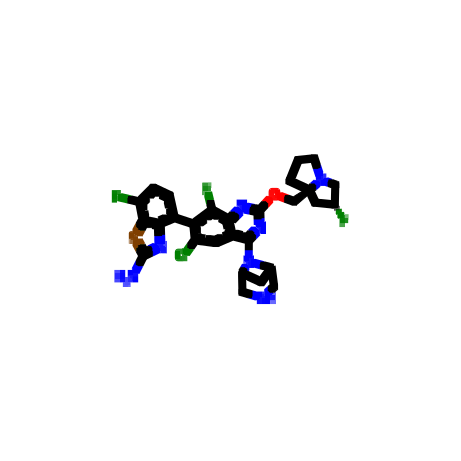 Nc1nc2c(-c3c(Cl)cc4c(N5C6CNCC5C6)nc(OC[C@@]56CCCN5C[C@H](F)C6)nc4c3F)ccc(F)c2s1